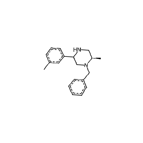 Cc1cccc(C2CN(Cc3ccccc3)[C@H](C)CN2)c1